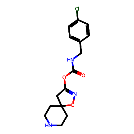 O=C(NCc1ccc(Cl)cc1)OC1=NOC2(CCNCC2)C1